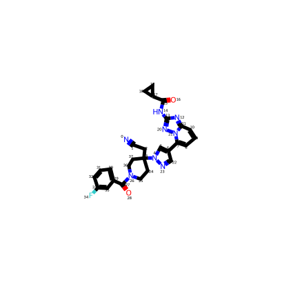 N#CCC1(n2cc(-c3cccc4nc(NC(=O)C5CC5)nn34)cn2)CCN(C(=O)c2cccc(F)c2)CC1